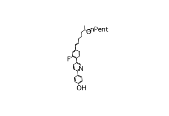 CCCCCOC(C)CCC/C=C/c1ccc(-c2ccc(-c3ccc(O)cc3)nc2)c(F)c1